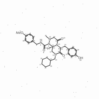 COc1ccc(CNC(=O)N2[C@H]3CN(CC4CCCCC4)C(=O)[C@H](Cc4ccc(O)cc4)N3C(=O)CN2C)cc1